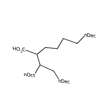 CCCCCCCCCCCCCCC(C(=O)O)C(CCCCCCCC)CCCCCCCCCCC